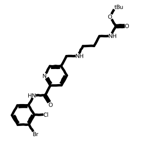 CC(C)(C)OC(=O)NCCCNCc1ccc(C(=O)Nc2cccc(Br)c2Cl)nc1